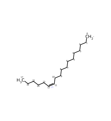 [CH2]CCCCCCCCCC/C=C\CCCCC